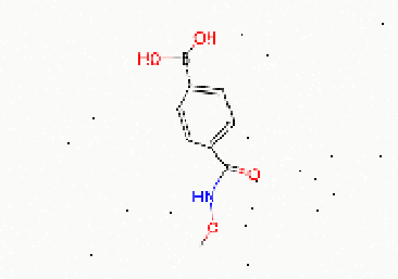 CONC(=O)c1ccc(B(O)O)cc1